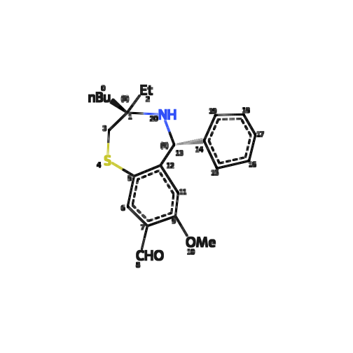 CCCC[C@]1(CC)CSc2cc(C=O)c(OC)cc2[C@@H](c2ccccc2)N1